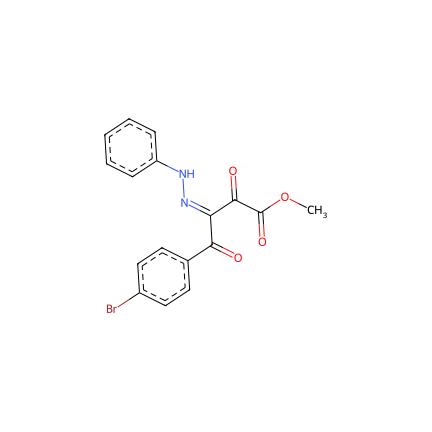 COC(=O)C(=O)C(=NNc1ccccc1)C(=O)c1ccc(Br)cc1